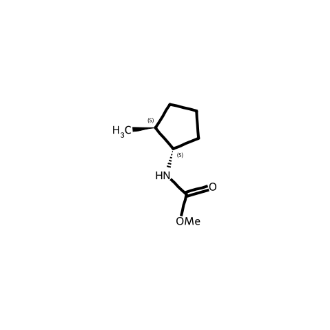 COC(=O)N[C@H]1CCC[C@@H]1C